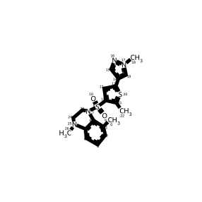 Cc1cccc2c1N(S(=O)(=O)c1cc(-c3cnn(C)c3)sc1C)CCN2C